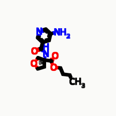 CCCCOC(=O)[C@]1(NC(=O)c2cncc(N)c2)CCOC1